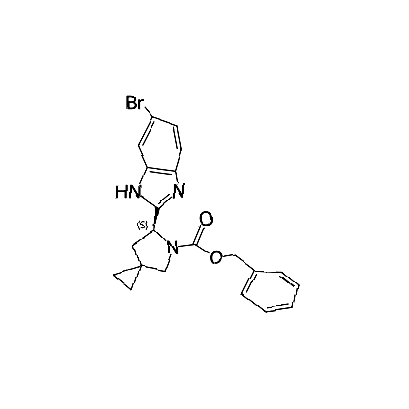 O=C(OCc1ccccc1)N1CC2(CC2)C[C@H]1c1nc2ccc(Br)cc2[nH]1